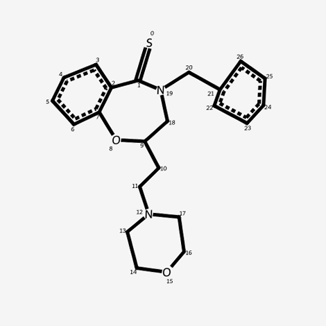 S=C1c2ccccc2OC(CCN2CCOCC2)CN1Cc1ccccc1